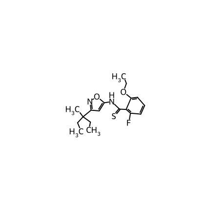 CCOc1cccc(F)c1C(=S)Nc1cc(C(C)(CC)CC)no1